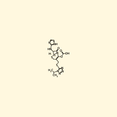 CC(C)n1nnnc1SCC1=C(OC(=O)O)N2C(=O)C(Nc3ncc[nH]3)[C@@H]2SC1